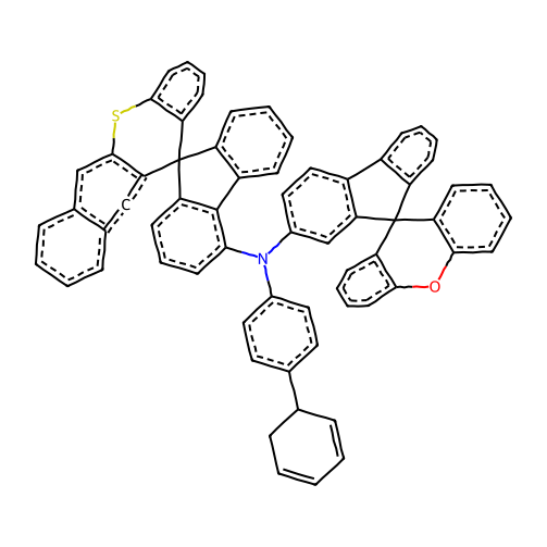 C1=CCC(c2ccc(N(c3ccc4c(c3)C3(c5ccccc5Oc5ccccc53)c3ccccc3-4)c3cccc4c3-c3ccccc3C43c4ccccc4Sc4cc5ccccc5cc43)cc2)C=C1